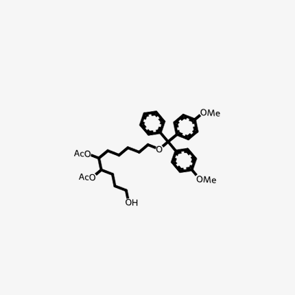 COc1ccc(C(OCCCCCC(OC(C)=O)C(CCCO)OC(C)=O)(c2ccccc2)c2ccc(OC)cc2)cc1